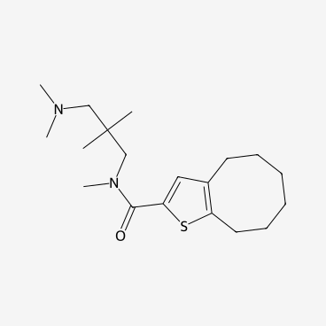 CN(C)CC(C)(C)CN(C)C(=O)c1cc2c(s1)CCCCCC2